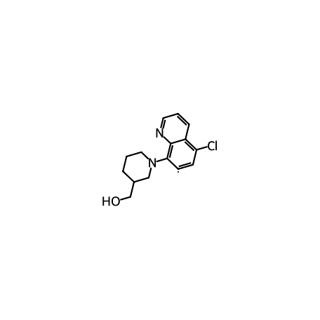 OCC1CCCN(c2[c]cc(Cl)c3cccnc23)C1